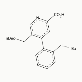 CCCCCCCCCCCc1cnc(C(=O)O)cc1-c1ccccc1C[C@@H](C)CC